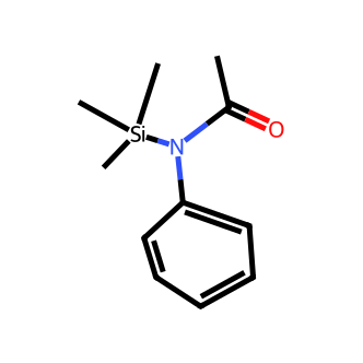 CC(=O)N(c1ccccc1)[Si](C)(C)C